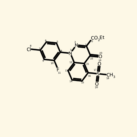 CCOC(=O)c1nn(-c2ccc(Cl)cc2F)c2cccc(S(C)(=O)=O)c2c1=O